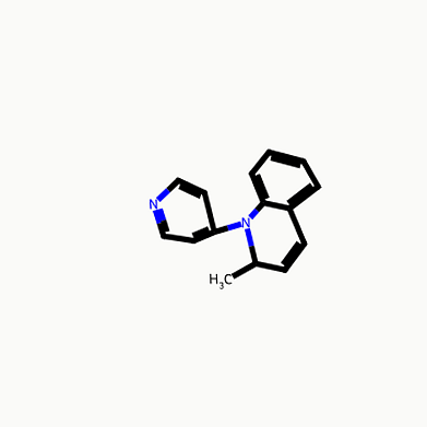 CC1C=Cc2ccccc2N1c1ccncc1